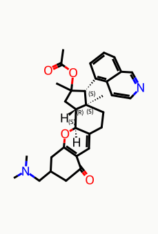 CC(=O)OC1(C)C[C@H]2[C@@H]3OC4=C(C=C3CC[C@]2(C)[C@H]1c1cccc2cnccc12)C(=O)CC(CN(C)C)C4